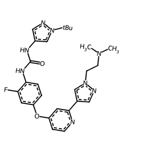 CN(C)CCn1cc(-c2cc(Oc3ccc(NC(=O)Nc4cnn(C(C)(C)C)c4)c(F)c3)ccn2)cn1